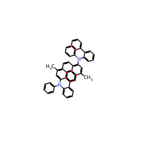 Cc1cc(N(c2ccccc2)c2ccccc2-c2ccccc2)c2ccc3c(C)cc(N(c4ccccc4)c4ccccc4-c4ccccc4)c4ccc1c2c34